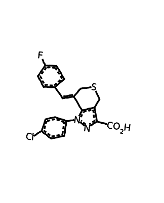 O=C(O)c1nn(-c2ccc(Cl)cc2)c2c1CSCC2=Cc1ccc(F)cc1